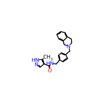 Cc1[nH]ncc1C(=O)NCc1ccc(CN2CCc3ccccc3C2)cc1